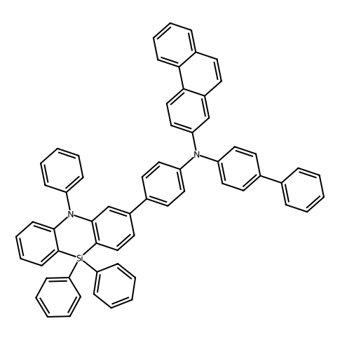 c1ccc(-c2ccc(N(c3ccc(-c4ccc5c(c4)N(c4ccccc4)c4ccccc4[Si]5(c4ccccc4)c4ccccc4)cc3)c3ccc4c(ccc5ccccc54)c3)cc2)cc1